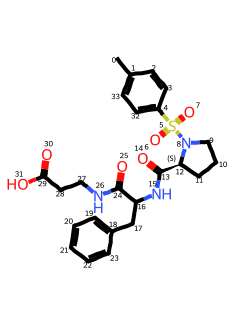 Cc1ccc(S(=O)(=O)N2CCC[C@H]2C(=O)NC(Cc2ccccc2)C(=O)NCCC(=O)O)cc1